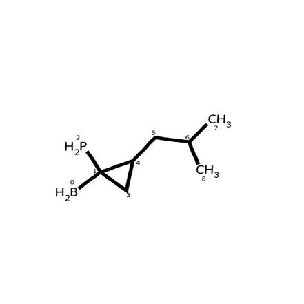 BC1(P)CC1CC(C)C